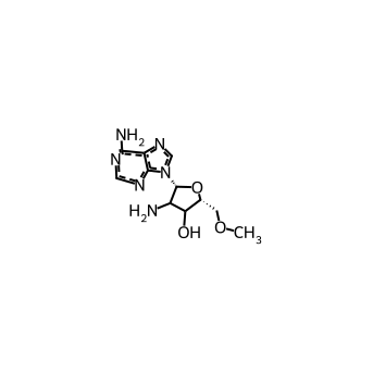 COC[C@H]1O[C@@H](n2cnc3c(N)ncnc32)C(N)C1O